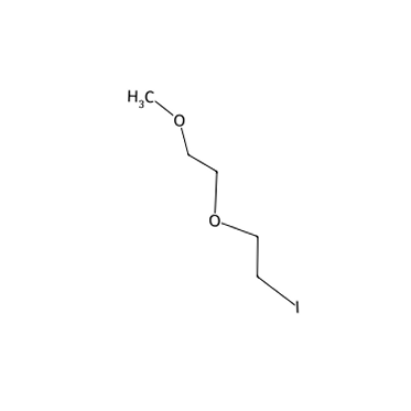 COCCOCCI